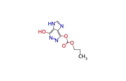 CCCOC(=O)Oc1nnc(O)c2[nH]cnc12